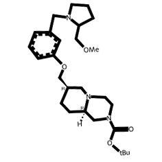 COCC1CCCN1Cc1cccc(OC[C@@H]2CC[C@@H]3CN(C(=O)OC(C)(C)C)CCN3C2)c1